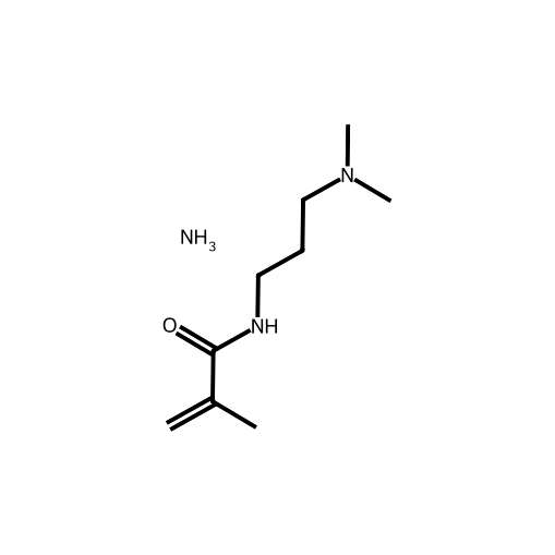 C=C(C)C(=O)NCCCN(C)C.N